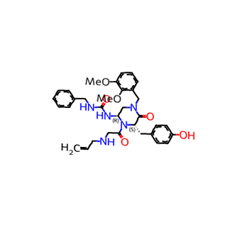 C=CCNCC(=O)N1[C@@H](NC(=O)NCc2ccccc2)CN(Cc2cccc(OC)c2OC)C(=O)[C@@H]1Cc1ccc(O)cc1